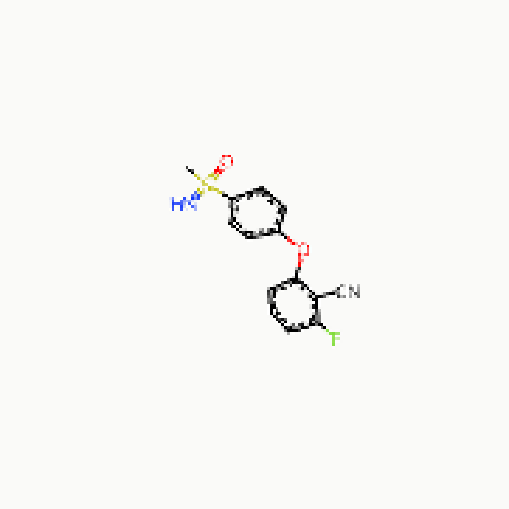 CS(=N)(=O)c1ccc(Oc2cccc(F)c2C#N)cc1